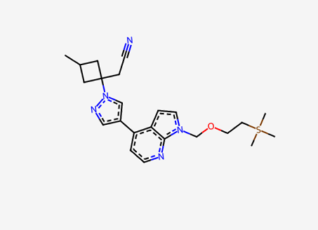 CC1CC(CC#N)(n2cc(-c3ccnc4c3ccn4COCCS(C)(C)C)cn2)C1